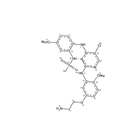 COc1ccc(Nc2nc(Nc3cc(OCCN)ccc3OC)ncc2Cl)c(NS(C)(=O)=O)c1